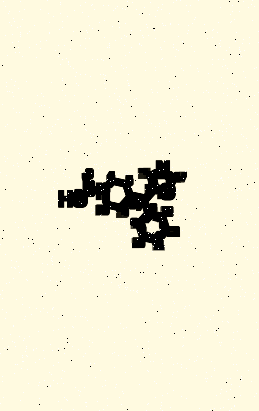 CB(O)N1CCC(=C(c2ccccc2)c2cnco2)CC1